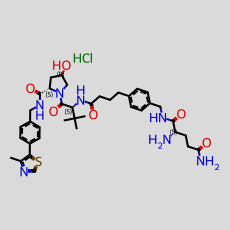 Cc1ncsc1-c1ccc(CNC(=O)[C@@H]2C[C@@H](O)CN2C(=O)[C@@H](NC(=O)CCCc2ccc(CNC(=O)[C@@H](N)CCC(N)=O)cc2)C(C)(C)C)cc1.Cl